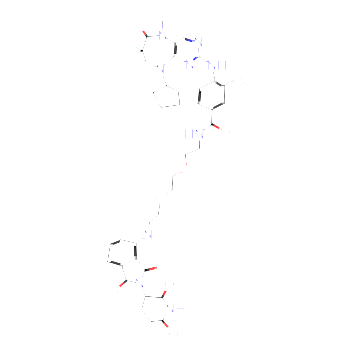 COc1cc(C(=O)NCCOCCOCCNc2cccc3c2C(=O)N(C2CCC(=O)NC2=O)C3=O)ccc1Nc1ncc2c(n1)N(C1CCCC1)CC(F)(F)C(=O)N2C